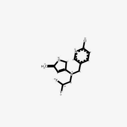 C=C1C=C(N(Cc2ccc(Cl)nc2)CC(F)F)CO1